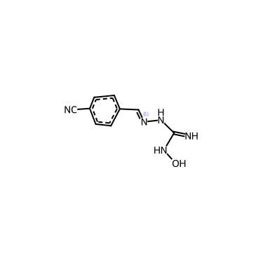 N#Cc1ccc(/C=N/NC(=N)NO)cc1